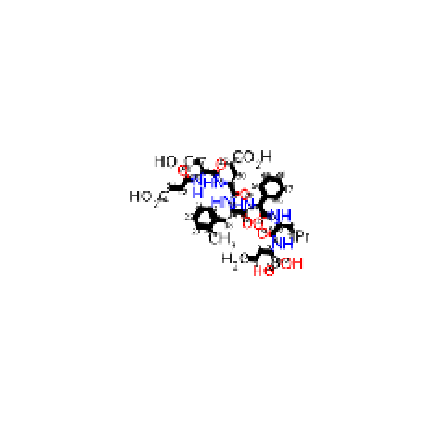 C=CCC(NC(=O)[C@H](CC(C)C)NC(=O)[C@@H](NC(=O)[C@H](Cc1ccccc1C)NC(=O)[C@H](CCC(=O)O)NC(=O)[C@H](CC(=O)O)NC(=O)CCC(=O)O)C1CCCCC1)B(O)O